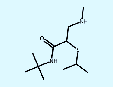 CNCC(SC(C)C)C(=O)NC(C)(C)C